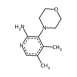 Cc1cnc(N)c(N2CCOCC2)c1C